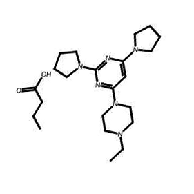 CCCC(=O)O.CCN1CCN(c2cc(N3CCCC3)nc(N3CCCC3)n2)CC1